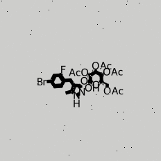 CC(=O)OC[C@H]1O[C@@](O)(Oc2n[nH]c(C)c2Cc2ccc(Br)cc2F)[C@H](OC(C)=O)[C@@H](OC(C)=O)[C@@H]1OC(C)=O